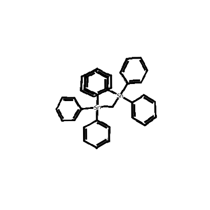 c1cc[c]([Sn]([CH2][Sn]([c]2ccccc2)([c]2ccccc2)[c]2ccccc2)([c]2ccccc2)[c]2ccccc2)cc1